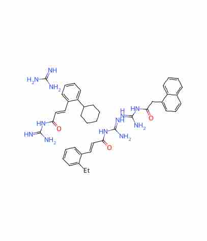 CCc1ccccc1C=CC(=O)NC(=N)N.N=C(N)N.N=C(N)NC(=O)C=Cc1ccccc1C1CCCCC1.N=C(N)NC(=O)Cc1cccc2ccccc12